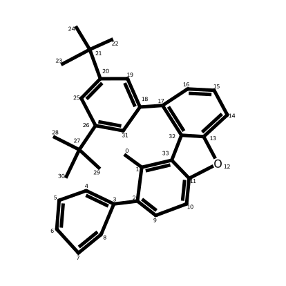 Cc1c(-c2ccccc2)ccc2oc3cccc(-c4cc(C(C)(C)C)cc(C(C)(C)C)c4)c3c12